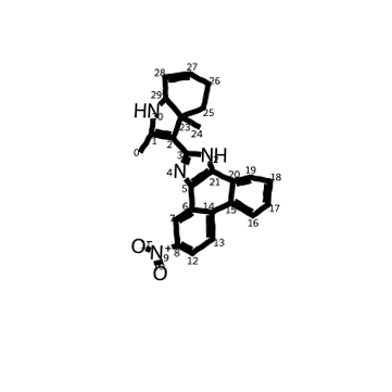 CC1=C(c2nc3c4cc([N+](=O)[O-])ccc4c4ccccc4c3[nH]2)C2(C)CCC=CC2N1